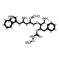 CC(C)(C)ONC(=O)OC(Cc1ccccc1)C(CN)OCC(CC(N)Cc1c[nH]c2ccccc12)OC=O